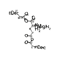 CCCCCCCCCCCC(=O)OC(=O)CCC(N)C(=O)OC(=O)CCCCCCCCCCC.[MgH2]